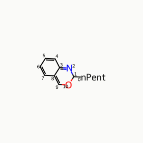 CCCCCC1N=c2ccccc2=CO1